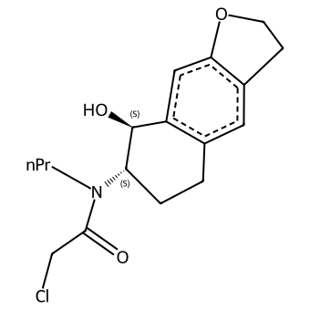 CCCN(C(=O)CCl)[C@H]1CCc2cc3c(cc2[C@@H]1O)OCC3